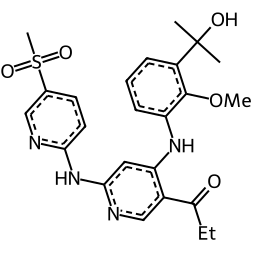 CCC(=O)c1cnc(Nc2ccc(S(C)(=O)=O)cn2)cc1Nc1cccc(C(C)(C)O)c1OC